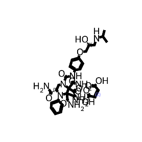 CC(C)NC[C@@H](O)COc1ccc(NC(=O)N2C[C@@H](C(N)=O)N(c3ccccc3)C(C(N)=O)(C(N)=O)C2(C(N)=O)C(N)=O)cc1.O=C(O)/C=C\C(=O)O